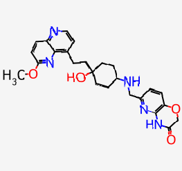 COc1ccc2nccc(CCC3(O)CCC(NCc4ccc5c(n4)NC(=O)CO5)CC3)c2n1